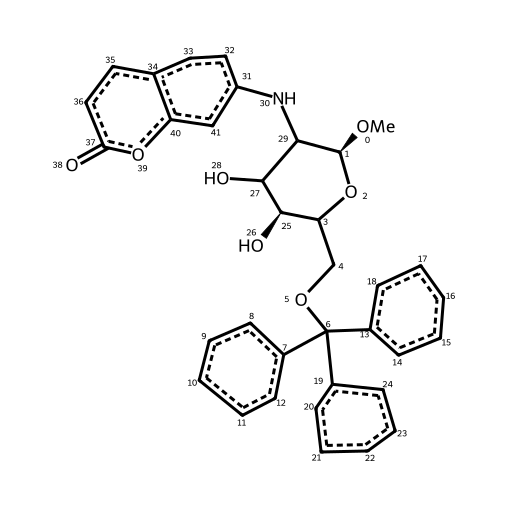 CO[C@H]1OC(COC(c2ccccc2)(c2ccccc2)c2ccccc2)[C@@H](O)C(O)C1Nc1ccc2ccc(=O)oc2c1